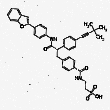 CC(C)(C)C#Cc1ccc(C(Cc2ccc(C(=O)NCCS(=O)(=O)O)cc2)C(=O)Nc2ccc(-c3cc4ccccc4o3)cc2)cc1